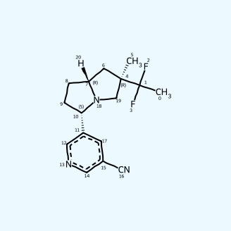 CC(F)(F)[C@]1(C)C[C@H]2CC[C@@H](c3cncc(C#N)c3)N2C1